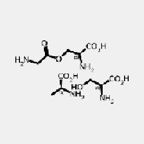 C[C@H](N)C(=O)O.NCC(=O)OC[C@H](N)C(=O)O.N[C@@H](CO)C(=O)O